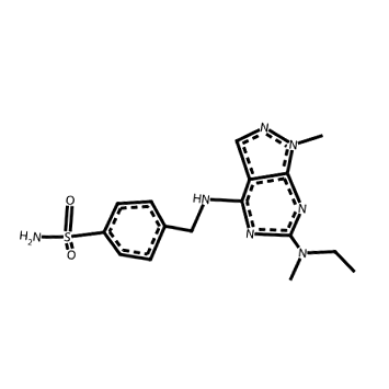 CCN(C)c1nc(NCc2ccc(S(N)(=O)=O)cc2)c2cnn(C)c2n1